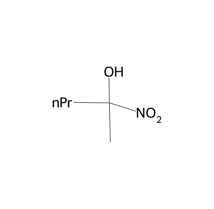 CCCC(C)(O)[N+](=O)[O-]